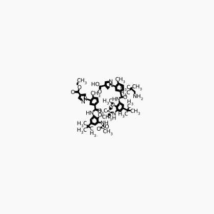 CC(C)(C)CN.CCOC(=O)c1cnn(-c2cc(C(=O)Nc3cc(C(C)(C)C)cc(NS(C)(=O)=O)c3OC)ccc2C)c1.COc1c(NC(=O)c2ccc(C)c(-n3cc(C(=O)O)cn3)c2)cc(C(C)(C)C)cc1NS(C)(=O)=O